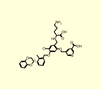 Cc1c(COc2cc(OCc3cncc(C(=O)O)c3)c(CNC(CCCN)C(=O)O)cc2Cl)cccc1[C@H]1COc2ccccc2O1